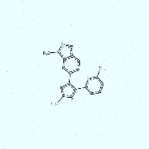 Cc1cccc(-c2sc(C)nc2-c2ccc3nnn(C)c3c2)n1